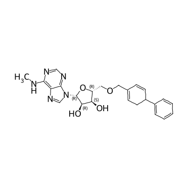 CNc1ncnc2c1ncn2[C@@H]1O[C@H](COCC2=CCC(c3ccccc3)C=C2)[C@@H](O)[C@H]1O